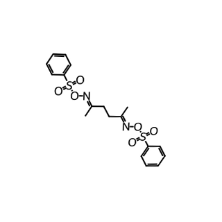 C/C(CC/C(C)=N/OS(=O)(=O)c1ccccc1)=N\OS(=O)(=O)c1ccccc1